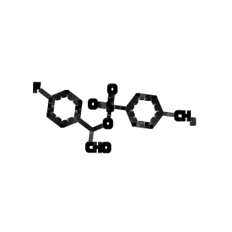 Cc1ccc(S(=O)(=O)OC(C=O)c2ccc(F)cc2)cc1